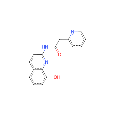 O=C(Cc1ccccn1)Nc1ccc2cccc(O)c2n1